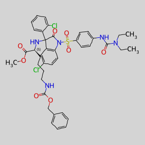 CCN(CC)C(=O)Nc1ccc(S(=O)(=O)N2C(=O)C(N[C@@H](CCCCNC(=O)OCc3ccccc3)C(=O)OC)(c3ccccc3Cl)c3cc(Cl)ccc32)cc1